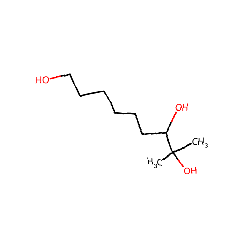 CC(C)(O)C(O)CCCCCCO